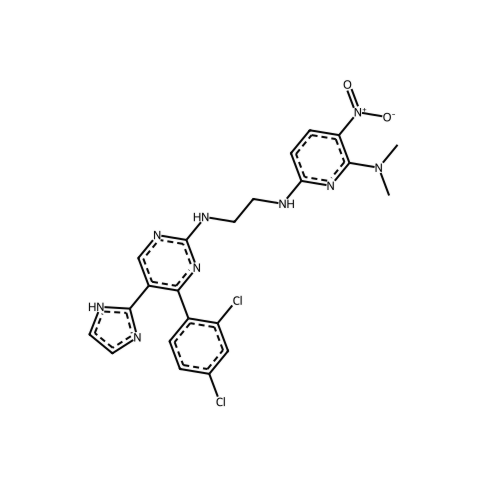 CN(C)c1nc(NCCNc2ncc(-c3ncc[nH]3)c(-c3ccc(Cl)cc3Cl)n2)ccc1[N+](=O)[O-]